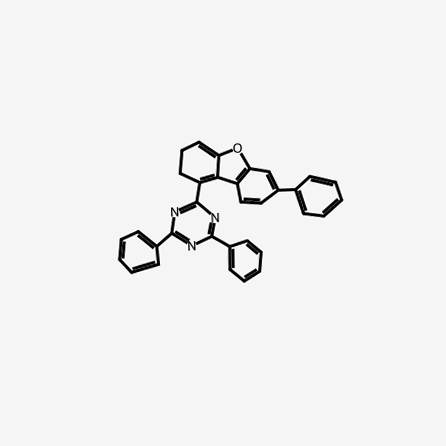 C1=c2oc3cc(-c4ccccc4)ccc3c2=C(c2nc(-c3ccccc3)nc(-c3ccccc3)n2)CC1